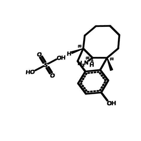 C[C@@]12CCCCC[C@@H](Cc3ccc(O)cc31)[C@@H]2N.O=S(=O)(O)O